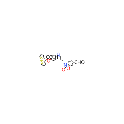 CN(CCCCn1c(=O)oc2cc(C=O)ccc21)[C@H]1CC[C@H](OC(C(=O)O)(c2cccs2)c2cccs2)CC1